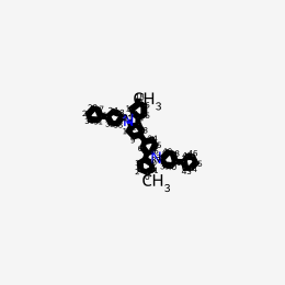 Cc1ccc2c3cc(-c4ccc5c(c4)c4ccc(C)cc4n5-c4ccc(-c5ccccc5)cc4)ccc3n(-c3ccc(-c4ccccc4)cc3)c2c1